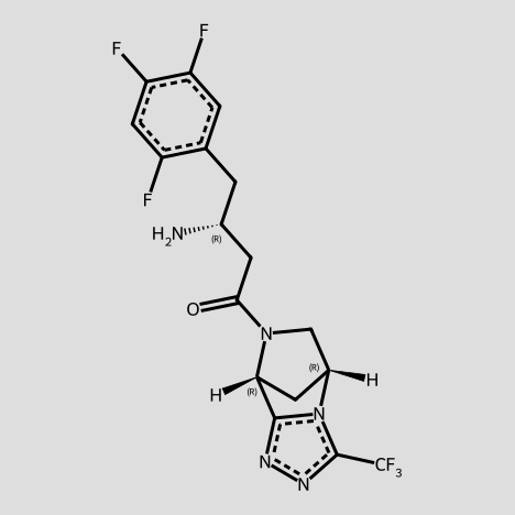 N[C@@H](CC(=O)N1C[C@H]2C[C@@H]1c1nnc(C(F)(F)F)n12)Cc1cc(F)c(F)cc1F